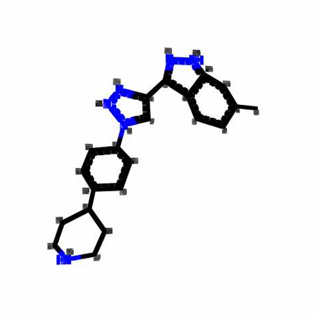 Cc1ccc2c(-c3cn(-c4ccc(C5CCNCC5)cc4)nn3)n[nH]c2c1